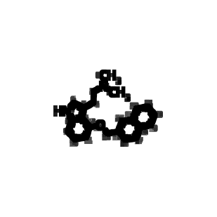 CN(C)CCc1c[nH]c2cccc(OCc3ccc4ccccc4c3)c12